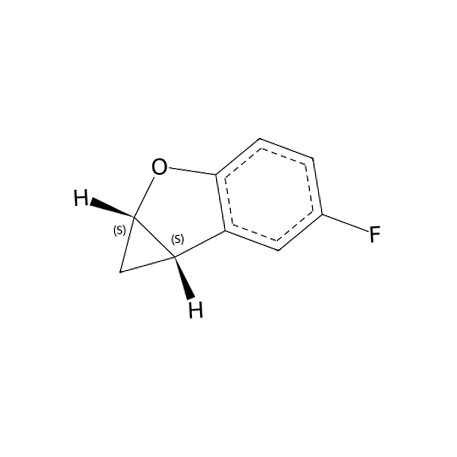 Fc1ccc2c(c1)[C@@H]1C[C@@H]1O2